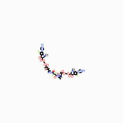 C=C(CNC(=O)C(F)C(F)C(=O)NCC(=C)C(C)(C)CC(C)(Br)C(=O)OCCOC(=O)C1CN(CC)c2cc(N3CCNCC3)c(F)cc2C1=O)C(C)(C)CC(C)(Br)C(=O)OCCOC(=O)C1CN(CC)c2cc(N3CCNCC3)c(F)cc2C1=O